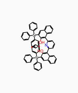 Oc1c([Si](c2ccccc2)(c2ccccc2)c2ccccc2)cc2ccccc2c1-c1cccc(-c2c(O)c([Si](c3ccccc3)(c3ccccc3)c3ccccc3)cc3ccccc23)n1